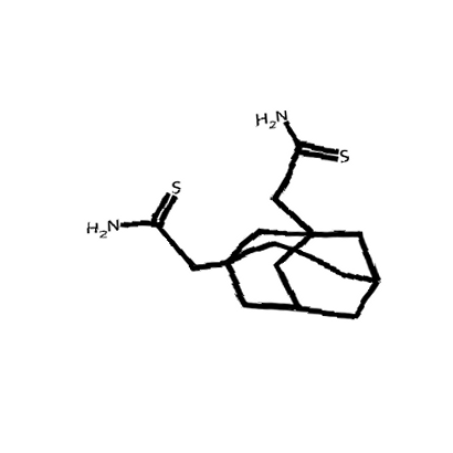 NC(=S)CC12CC3CC(C1)CC(CC(N)=S)(C3)C2